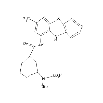 CC(C)(C)N(C(=O)O)C1CCCC(C(=O)Nc2cc(C(F)(F)F)cc3c2Nc2ccncc2S3)C1